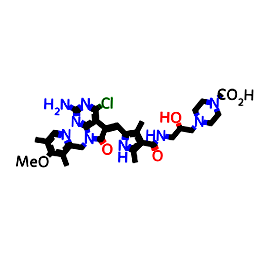 COc1c(C)cnc(CN2C(=O)C(=Cc3[nH]c(C)c(C(=O)NCC(O)CN4CCN(C(=O)O)CC4)c3C)c3c(Cl)nc(N)nc32)c1C